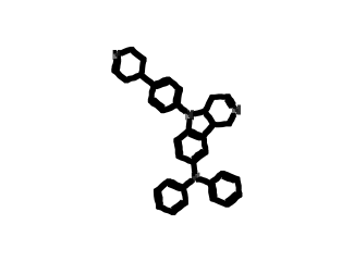 C1=NCCC(c2ccc(N3c4ccc(N(c5ccccc5)c5ccccc5)cc4C4CN=CCC43)cc2)C1